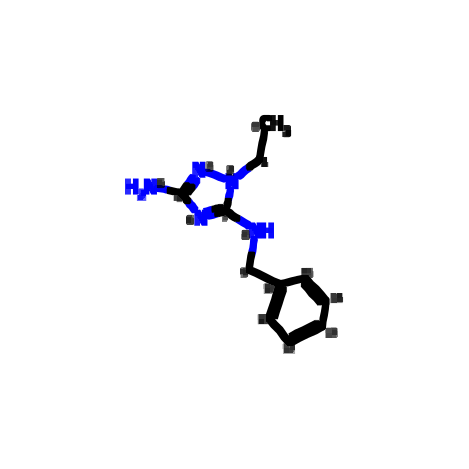 CCn1nc(N)nc1NCc1ccccc1